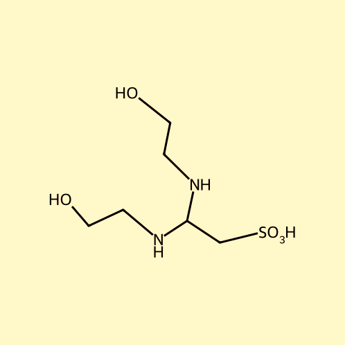 O=S(=O)(O)CC(NCCO)NCCO